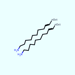 CCCCCCCCC=CCCCCCCCCN.CCCCCCCCC=CCCCCCCCCN